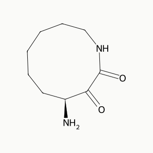 N[C@H]1CCCCCCNC(=O)C1=O